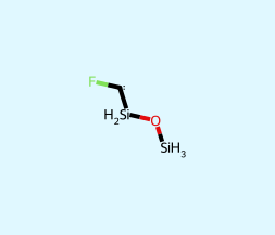 F[C][SiH2]O[SiH3]